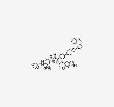 CC(C)c1ccccc1[C@@H]1CCCN1C1CC2(CCN(c3ccc(C(=O)NS(=O)(=O)c4ccc(NC[C@H]5COCCO5)c([N+](=O)[O-])c4)c(N4CCCOc5nc6[nH]ccc6cc54)c3)CC2)C1